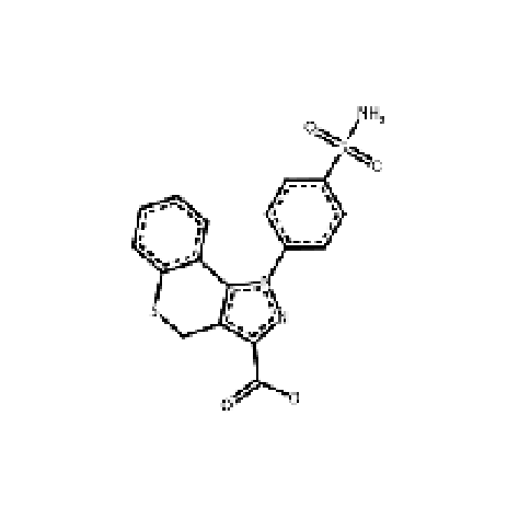 NS(=O)(=O)c1ccc(-n2nc(C(=O)O)c3c2-c2ccccc2SC3)cc1